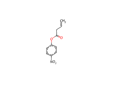 C=CCC(=O)Oc1ccc([N+](=O)[O-])cc1